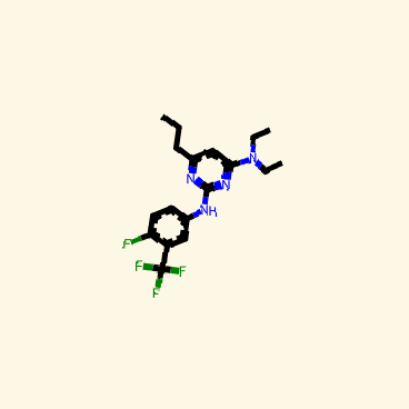 CCCc1cc(N(CC)CC)nc(Nc2ccc(F)c(C(F)(F)F)c2)n1